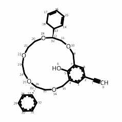 C#Cc1cc2c(O)c(c1)COC[C@H](C1C=CC=CC1)OCCOCCO[C@@H](c1ccccc1)COC2